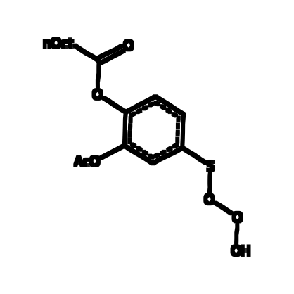 CCCCCCCCC(=O)Oc1ccc(SOOO)cc1OC(C)=O